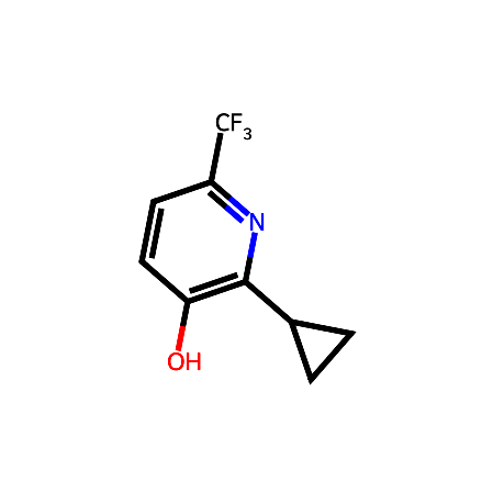 Oc1ccc(C(F)(F)F)nc1C1CC1